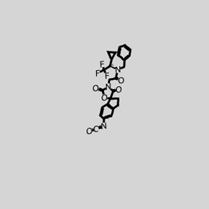 O=C=Nc1ccc2c(c1)CCC21OC(=O)N(CC(=O)N(Cc2ccccc2)[C@H](C2CC2)C(F)(F)F)C1=O